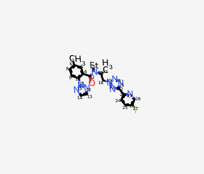 CCN(C(=O)c1cc(C)ccc1-n1nccn1)[C@@H](C)Cn1nnc(-c2ccc(F)cn2)n1